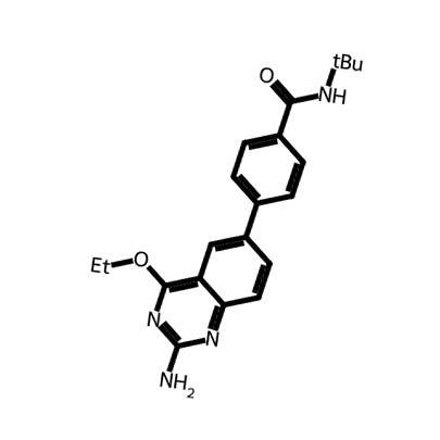 CCOc1nc(N)nc2ccc(-c3ccc(C(=O)NC(C)(C)C)cc3)cc12